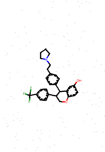 Oc1ccc2c(c1)C(c1ccc(CCN3CCCC3)cc1)C(c1ccc(C(F)(F)F)cc1)CO2